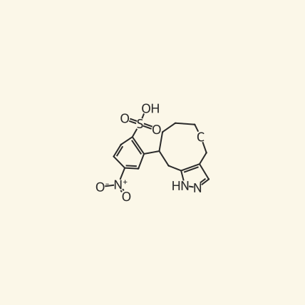 O=[N+]([O-])c1ccc(S(=O)(=O)O)c(C2CCCCCc3cn[nH]c3C2)c1